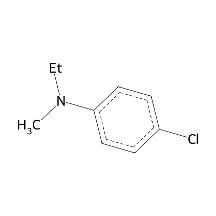 [CH2]CN(C)c1ccc(Cl)cc1